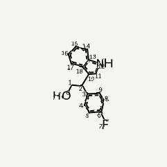 OCC(c1ccc(F)cc1)c1c[nH]c2ccccc12